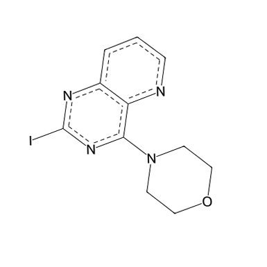 Ic1nc(N2CCOCC2)c2ncccc2n1